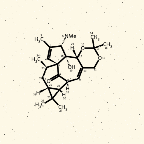 CN[C@H]1C(C)=C[C@]23C(=O)[C@@H](C=C4COC(C)(C)O[C@H]4[C@]12O)[C@H]1[C@@H](C[C@H]3C)C1(C)C